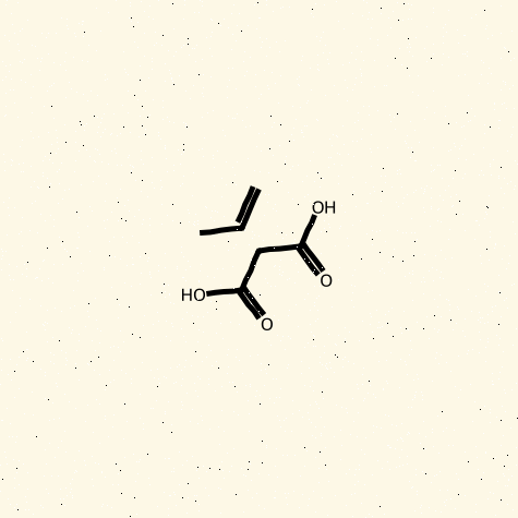 C=CC.O=C(O)CC(=O)O